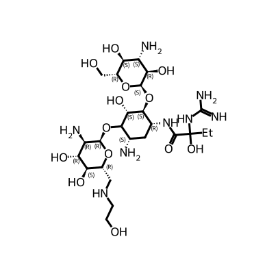 CCC(O)(NC(=N)N)C(=O)N[C@@H]1C[C@H](N)C(O[C@H]2O[C@H](CNCCO)[C@@H](O)[C@H](O)[C@H]2N)[C@H](O)[C@H]1O[C@H]1O[C@H](CO)[C@@H](O)[C@H](N)[C@H]1O